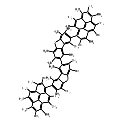 Bc1c(-c2c(B)c(B)c3oc4c(B)c(B)c(-c5c(B)c(B)c6c(B)c(B)c7c(B)c(B)c(B)c8c(B)c(B)c5c6c78)c(B)c4c3c2B)c(B)c2c(oc3c(B)c(B)c(-c4c(B)c(B)c5c(B)c(B)c6c(B)c(B)c(B)c7c(B)c(B)c4c5c67)c(B)c32)c1B